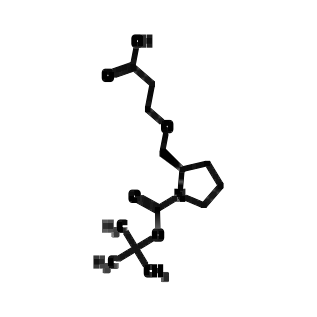 CC(C)(C)OC(=O)N1CCC[C@@H]1COCCC(=O)O